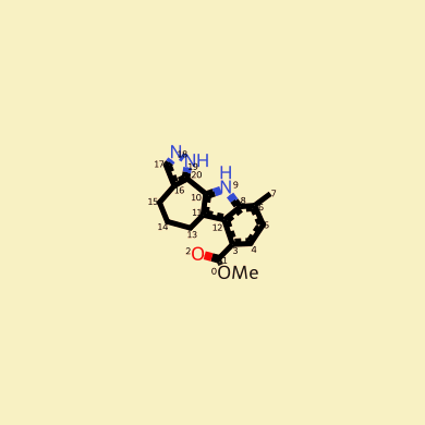 COC(=O)c1ccc(C)c2[nH]c3c(c12)CCCc1cn[nH]c1-3